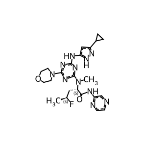 C[C@H](F)C[C@@H](C(=O)Nc1cnccn1)N(C)c1nc(Nc2cc(C3CC3)n[nH]2)nc(N2CCOCC2)n1